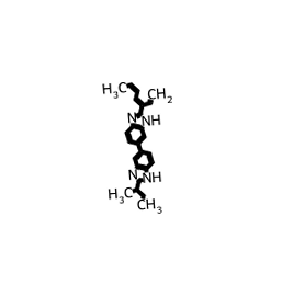 C=C/C(=C\C=C/C)c1nc2ccc(-c3ccc4[nH]c(C(C)CC)nc4c3)cc2[nH]1